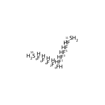 F.F.F.F.F.F.F.F.F.F.S.S